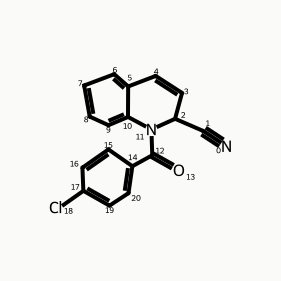 N#CC1C=Cc2ccccc2N1C(=O)c1ccc(Cl)cc1